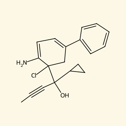 CC#CC(O)(C1CC1)C1(Cl)CC(c2ccccc2)=CC=C1N